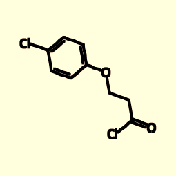 O=C(Cl)CCOc1ccc(Cl)cc1